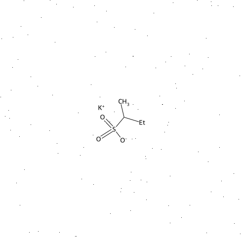 CCC(C)S(=O)(=O)[O-].[K+]